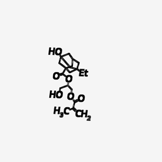 C=C(C)C(=O)OCC(CO)OC(=O)C12CC3CC(O)(CC(CC)(C3)C1)C2